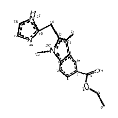 CCOC(=O)c1ccc2c(c1)c(C)c(Cc1ncc[nH]1)n2C